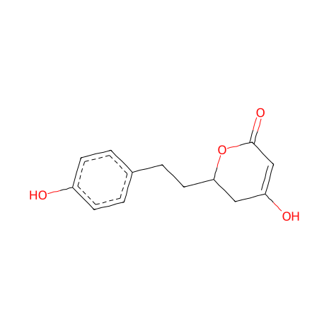 O=C1C=C(O)CC(CCc2ccc(O)cc2)O1